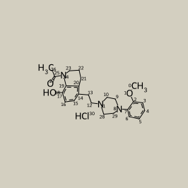 COc1ccccc1N1CCN(CCc2ccc(O)c3c2CCCN3C(C)=O)CC1.Cl